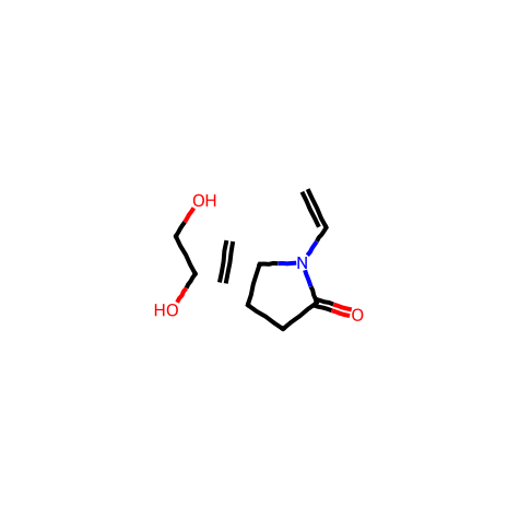 C=C.C=CN1CCCC1=O.OCCO